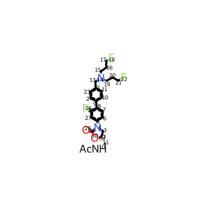 CC(=O)NC[C@H]1CN(c2ccc(-c3ccc(CN(CCCF)CCCF)cc3)c(F)c2)C(=O)O1